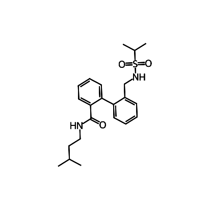 CC(C)CCNC(=O)c1ccccc1-c1ccccc1CNS(=O)(=O)C(C)C